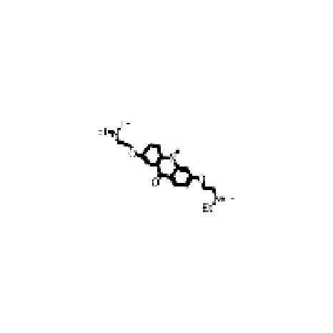 CCN(CC)CCOc1ccc2c(c1)c(=O)c1ccc(OCCN(CC)CC)cc1n2C